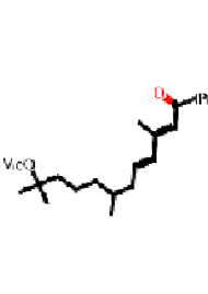 COC(C)(C)CCCC(C)C/C=C/C(C)=C/C(=O)C(C)C